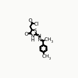 CC(=NN=C1NC(=O)C(CC(=O)Cl)S1)c1ccc(C)cc1